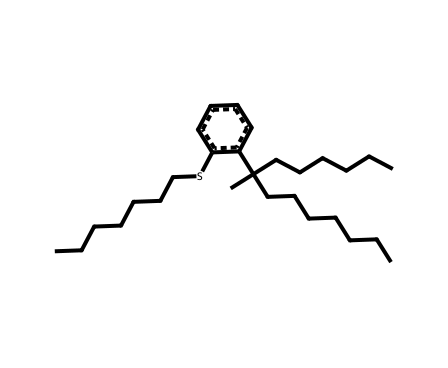 CCCCCCCSc1ccccc1C(C)(CCCCCC)CCCCCCC